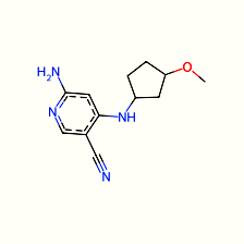 COC1CCC(Nc2cc(N)ncc2C#N)C1